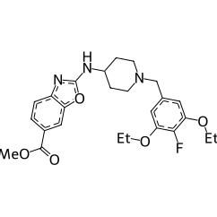 CCOc1cc(CN2CCC(Nc3nc4ccc(C(=O)OC)cc4o3)CC2)cc(OCC)c1F